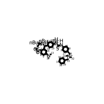 CCCCC1(CCCC)CS(=O)(=O)c2ccc(N(C)C)cc2C(c2ccc(NC(=S)Nc3ccc(C[N+](C)(C)Cc4ccccc4)cc3)cc2)N1.[Br-]